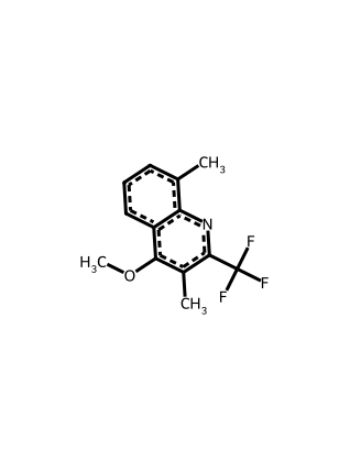 COc1c(C)c(C(F)(F)F)nc2c(C)cccc12